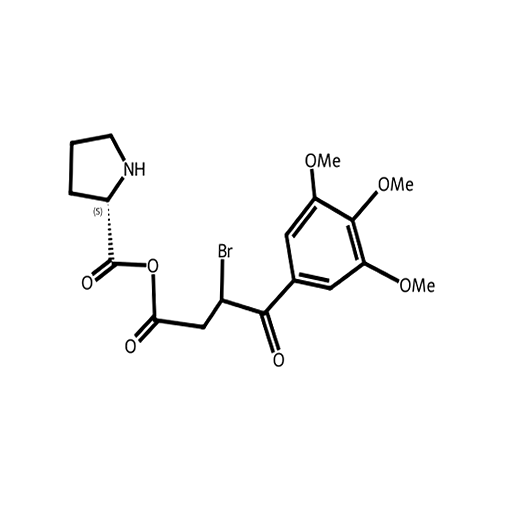 COc1cc(C(=O)C(Br)CC(=O)OC(=O)[C@@H]2CCCN2)cc(OC)c1OC